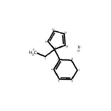 CCC1(C2=CC=CCC2)C=CC=C1.[Ir]